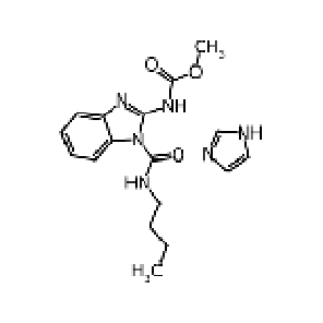 CCCCNC(=O)n1c(NC(=O)OC)nc2ccccc21.c1c[nH]cn1